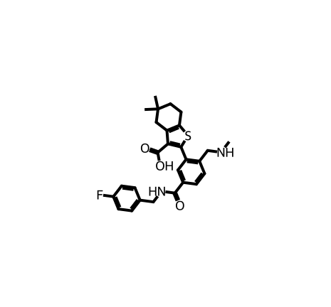 CNCc1ccc(C(=O)NCc2ccc(F)cc2)cc1-c1sc2c(c1C(=O)O)CC(C)(C)CC2